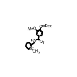 CCCCCCCCCCOc1ccc(C(=O)NCc2cccc[n+]2C)cc1OC.[I-]